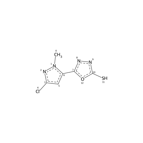 Cn1nc(Cl)cc1-c1nnc(S)o1